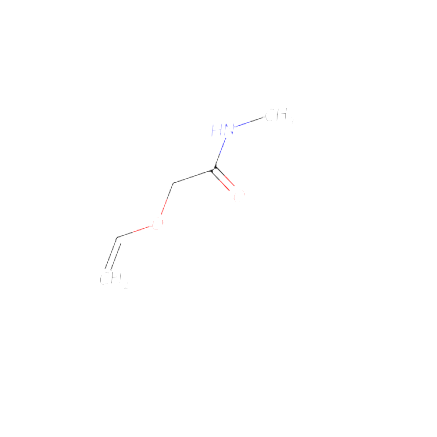 C=COCC(=O)NC